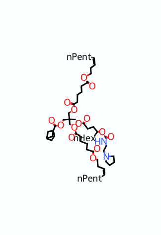 CCCCC/C=C\CCOC(=O)CCCCC(=O)OCC(COC(=O)CCCCC(=O)OCC/C=C\CCCCC)(COC(=O)CCC(CCCCCC)OC(=O)NCCN1CCCC1)COC(=O)C12CCC(C1)C2